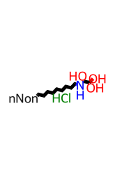 CCCCCCCCCCCCCCCCCCNC(O)C(O)O.Cl